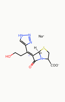 O=C([O-])C1CS[C@@H]2/C(=C(/CCO)c3c[nH]nn3)C(=O)N12.[Na+]